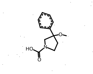 COC1(c2ccccc2)CCN(C(=O)O)C1